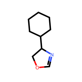 C1=NC(C2CCCCC2)CO1